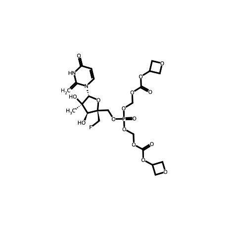 C=C1NC(=O)C=CN1[C@@H]1O[C@](CF)(COP(=O)(OCOC(=O)OC2COC2)OCOC(=O)OC2COC2)[C@@H](O)[C@@]1(C)O